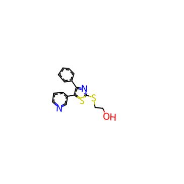 OCCSc1nc(-c2ccccc2)c(-c2cccnc2)s1